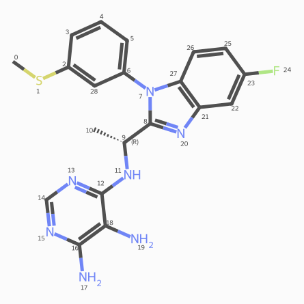 CSc1cccc(-n2c([C@@H](C)Nc3ncnc(N)c3N)nc3cc(F)ccc32)c1